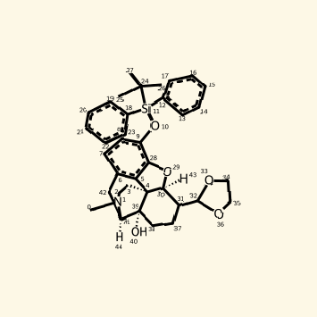 CN1CC[C@]23c4c5ccc(O[Si](c6ccccc6)(c6ccccc6)C(C)(C)C)c4O[C@H]2C(C2OCCO2)CC[C@@]3(O)[C@H]1C5